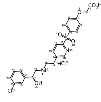 Cl.O=C(O)COc1ccc(S(=O)(=O)c2ccc(CCNC[C@@H](O)c3cccc(Cl)c3)cn2)cc1